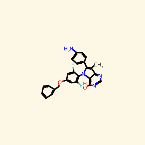 Cc1c(-c2ccc(N)cc2)n(-c2c(F)cc(OCc3ccccc3)cc2F)c2c(O)ncnc12